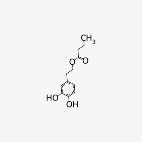 CCCC(=O)OCCc1ccc(O)c(O)c1